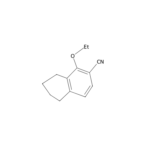 CCOc1c(C#N)ccc2c1CCCC2